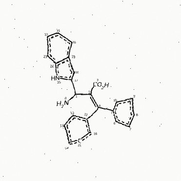 NC(C(C(=O)O)=C(c1ccccc1)c1ccccc1)c1cc2ccccc2[nH]1